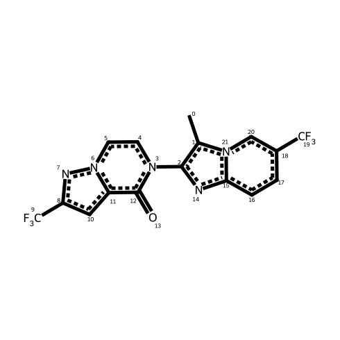 Cc1c(-n2ccn3nc(C(F)(F)F)cc3c2=O)nc2ccc(C(F)(F)F)cn12